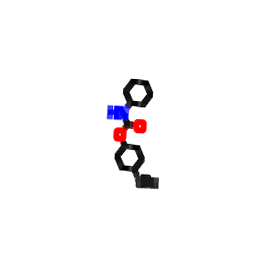 CC(C)(C)C1CCC(OC(=O)NC2CCCCC2)CC1